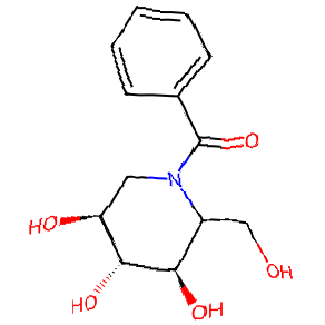 O=C(c1ccccc1)N1C[C@H](O)[C@@H](O)[C@H](O)C1CO